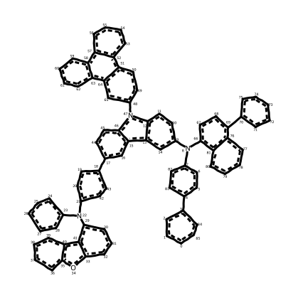 c1ccc(-c2ccc(N(c3ccc4c(c3)c3cc(-c5ccc(N(c6ccccc6)c6cccc7oc8ccccc8c67)cc5)ccc3n4-c3ccc4c5ccccc5c5ccccc5c4c3)c3ccc(-c4ccccc4)c4ccccc34)cc2)cc1